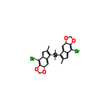 CC1=C([Si](C)(C)C2=C(C)C=C3C2=CC2OCOC2=C3Br)C2=CC3OCOC3=C(Br)C2=C1